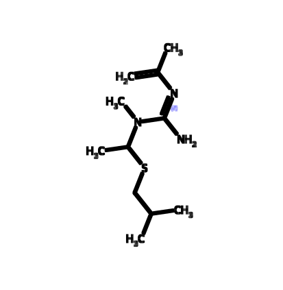 C=C(C)/N=C(/N)N(C)C(C)SCC(C)C